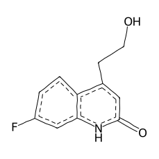 O=c1cc(CCO)c2ccc(F)cc2[nH]1